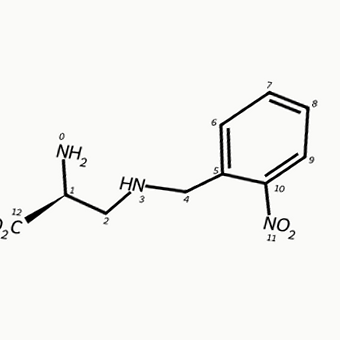 N[C@@H](CNCc1ccccc1[N+](=O)[O-])C(=O)O